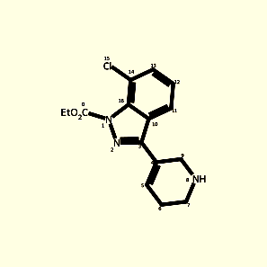 CCOC(=O)n1nc(C2=CCCNC2)c2cccc(Cl)c21